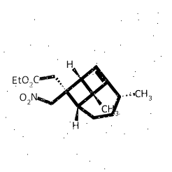 CCOC(=O)C[C@@]1(C[N+](=O)[O-])[C@H]2CC[C@@H](C)C3=C[C@@H]1[C@]32C